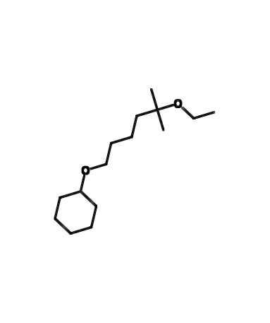 CCOC(C)(C)CCCCOC1CCCCC1